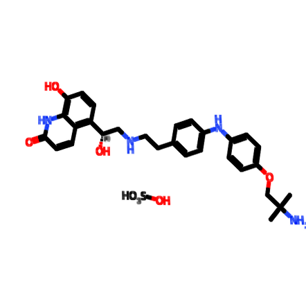 CC(C)(N)COc1ccc(Nc2ccc(CCNC[C@H](O)c3ccc(O)c4[nH]c(=O)ccc34)cc2)cc1.O=S(=O)(O)O